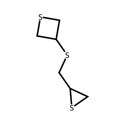 C1SCC1SCC1CS1